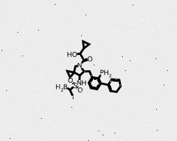 BC(I)S(=O)(=O)NC1C(Cc2cccc(C3=CCCC=C3)c2P)N(C(=O)C(O)C2CC2)CC12CC2